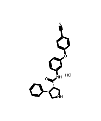 Cl.N#Cc1ccc(Oc2cccc(NC(=O)[C@@H]3CNC[C@H]3c3ccccc3)c2)cc1